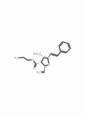 C=C[C@@H]1O[C@H](C=Cc2ccccc2)[C@@H](C(=O)OCC)[C@H]1C(=O)OCCN